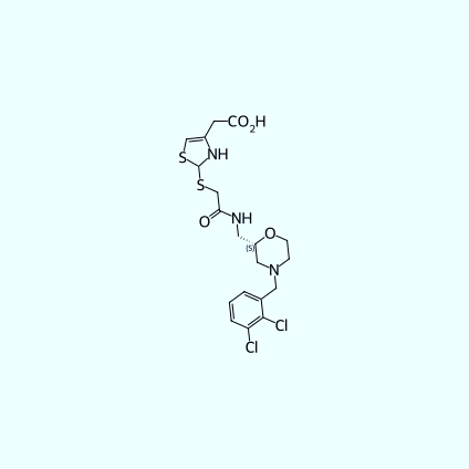 O=C(O)CC1=CSC(SCC(=O)NC[C@H]2CN(Cc3cccc(Cl)c3Cl)CCO2)N1